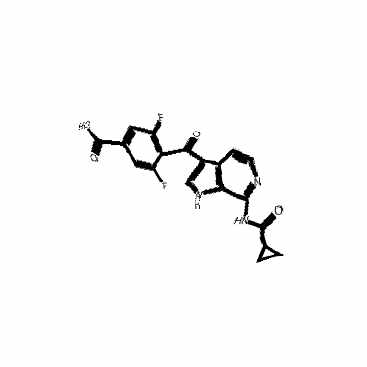 O=C(O)c1cc(F)c(C(=O)c2c[nH]c3c(NC(=O)C4CC4)nccc23)c(F)c1